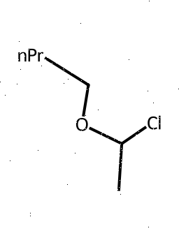 CCCCOC(C)Cl